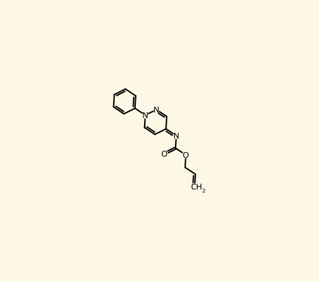 C=CCOC(=O)N=c1ccn(-c2ccccc2)nc1